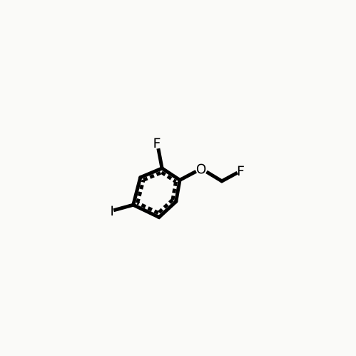 FCOc1ccc(I)cc1F